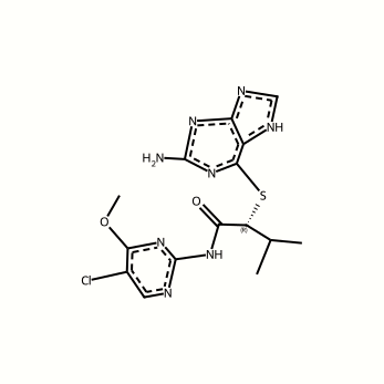 COc1nc(NC(=O)[C@H](Sc2nc(N)nc3nc[nH]c23)C(C)C)ncc1Cl